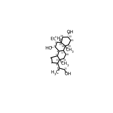 CC[C@H]1[C@@H](O)C2C3CCC([C@H](C)CO)[C@@]3(C)CCC2[C@@]2(C)CC[C@@H](O)C[C@@H]12